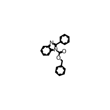 O=C(OCc1ccccc1)n1c(-c2ccccc2)nc2ccccc21